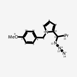 COc1ccc(Cn2cccc2C(N=[N+]=[N-])C(C)C)cc1